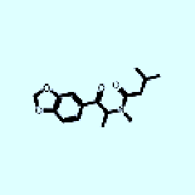 CC(C)CC(=O)N(C)C(C)C(=O)c1ccc2c(c1)OCO2